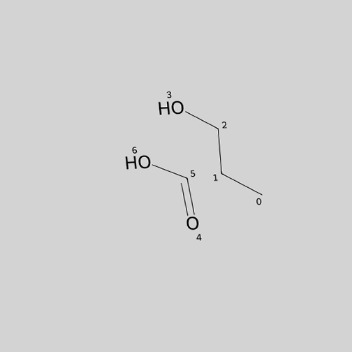 CCCO.O=CO